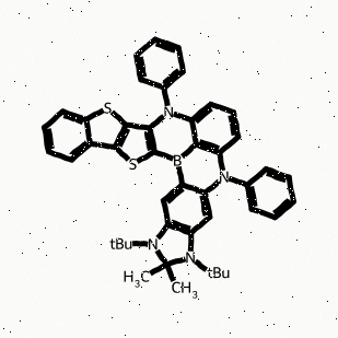 CC(C)(C)N1c2cc3c(cc2N(C(C)(C)C)C1(C)C)N(c1ccccc1)c1cccc2c1B3c1sc3c(sc4ccccc43)c1N2c1ccccc1